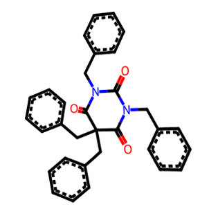 O=C1N(Cc2ccccc2)C(=O)C(Cc2ccccc2)(Cc2ccccc2)C(=O)N1Cc1ccccc1